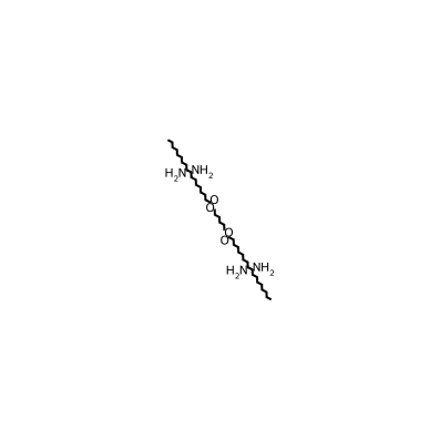 CCCCCCCCC(N)C(N)CCCCCCCC(=O)OCCCCCCOC(=O)CCCCCCCC(N)C(N)CCCCCCCC